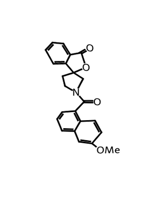 COc1ccc2c(C(=O)N3CCC4(C3)OC(=O)c3ccccc34)cccc2c1